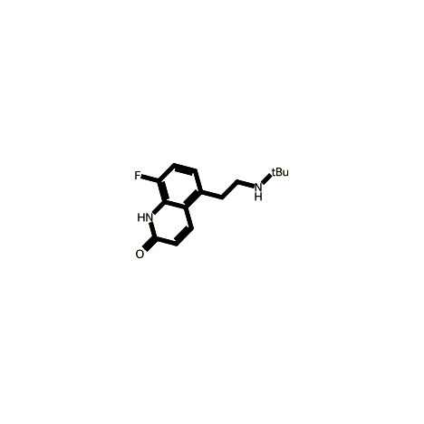 CC(C)(C)NCCc1ccc(F)c2[nH]c(=O)ccc12